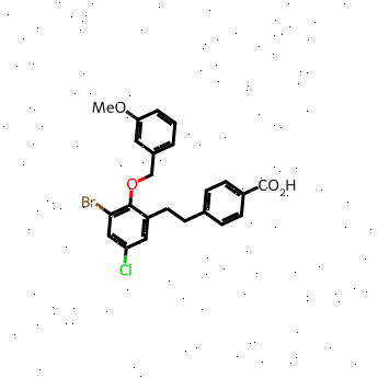 COc1cccc(COc2c(Br)cc(Cl)cc2CCc2ccc(C(=O)O)cc2)c1